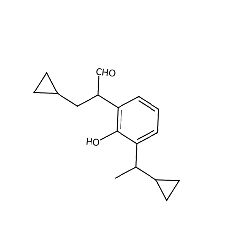 CC(c1cccc(C(C=O)CC2CC2)c1O)C1CC1